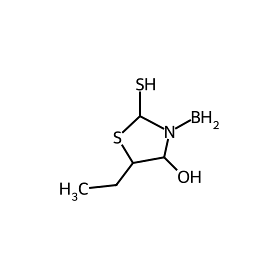 BN1C(S)SC(CC)C1O